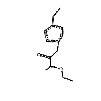 CCOC(C)C(=O)Cc1ccc(CC)cc1